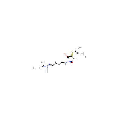 CC(C)NCCCCCCN1C(=O)CC(SC(C)C)C1=O